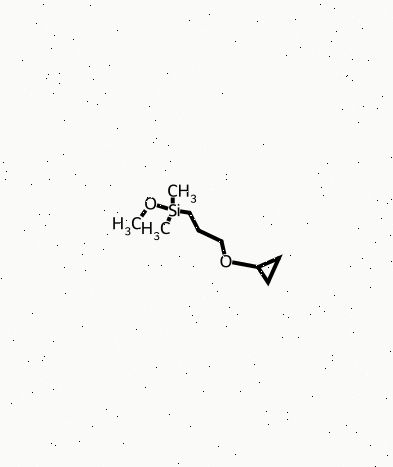 CO[Si](C)(C)CCCOC1CC1